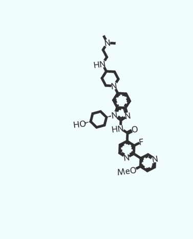 COc1ccncc1-c1nccc(C(=O)Nc2nc3ccc(N4CCC(NCCN(C)C)CC4)cc3n2[C@H]2CC[C@@H](O)CC2)c1F